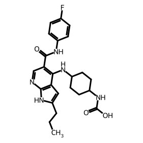 CCCc1cc2c(NC3CCC(NC(=O)O)CC3)c(C(=O)Nc3ccc(F)cc3)cnc2[nH]1